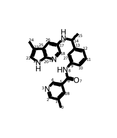 Cc1cncc(C(=O)Nc2cccc(C(C)Nc3cnc4[nH]cc(C)c4c3)c2)c1